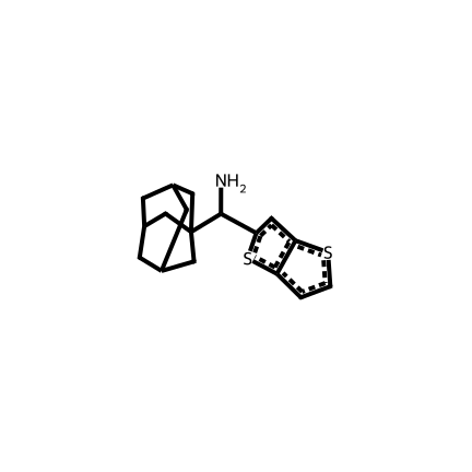 NC(c1cc2sccc2s1)C12CC3CC(CC(C3)C1)C2